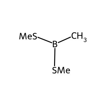 CSB(C)SC